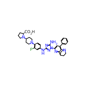 Nc1nc(Nc2ccc(N3CCC(N4CCC[C@H]4C(=O)O)CC3)c(F)c2)nn1-c1cc(-c2ccccc2)c2c(n1)C1CCN2CC1